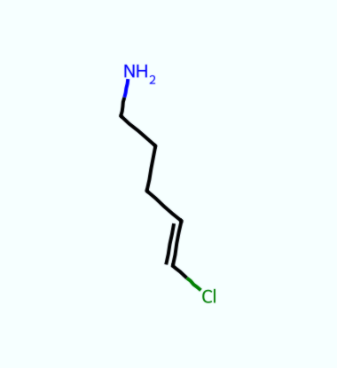 NCCCC=CCl